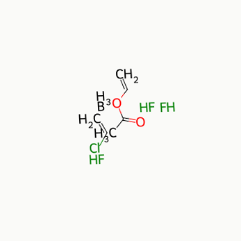 B.C=CCl.C=COC(C)=O.F.F.F